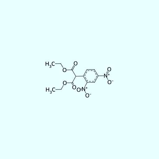 CCOC(=O)C(C(=O)OCC)c1ccc([N+](=O)[O-])cc1[N+](=O)[O-]